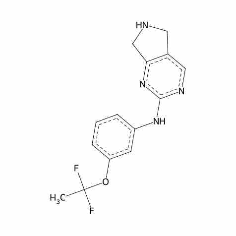 CC(F)(F)Oc1cccc(Nc2ncc3c(n2)CNC3)c1